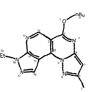 CCCCOc1nc2cc(C)nn2c2c1cnc1c2cnn1CC